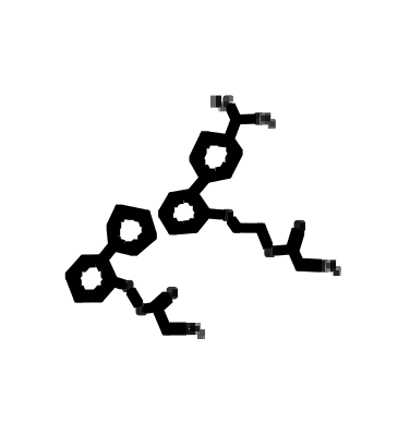 C=CC(=O)OCCOc1ccccc1-c1ccc(C(C)C)cc1.C=CC(=O)OOc1ccccc1-c1ccccc1